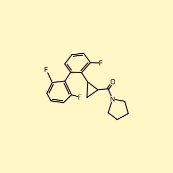 O=C(C1CC1c1c(F)cccc1-c1c(F)cccc1F)N1CCCC1